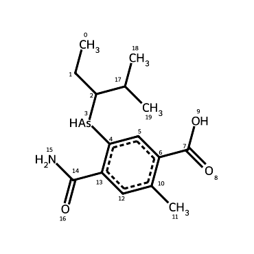 CCC([AsH]c1cc(C(=O)O)c(C)cc1C(N)=O)C(C)C